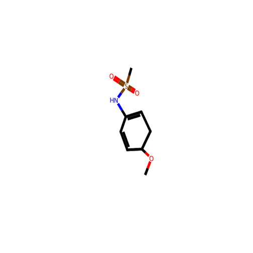 COC1C=CC(NS(C)(=O)=O)=CC1